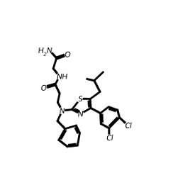 CC(C)Cc1sc(N(CCC(=O)NCC(N)=O)Cc2ccccc2)nc1-c1ccc(Cl)c(Cl)c1